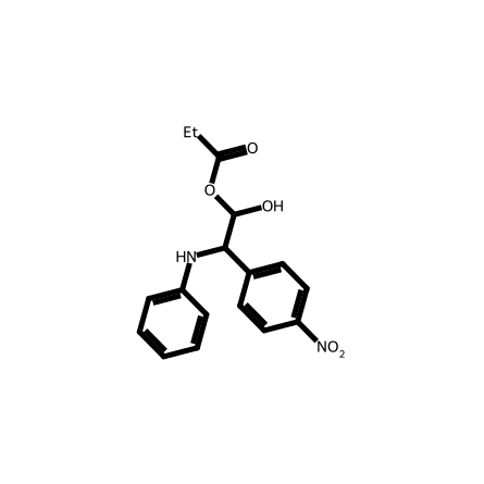 CCC(=O)OC(O)C(Nc1ccccc1)c1ccc([N+](=O)[O-])cc1